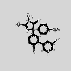 COc1ccc([C@@]2(c3ccc(F)c(-c4cncc(F)c4)c3)N=C(N)N(C)C2=O)cc1